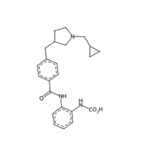 O=C(O)Nc1ccccc1NC(=O)c1ccc(CC2CCN(CC3CC3)C2)cc1